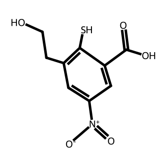 O=C(O)c1cc([N+](=O)[O-])cc(CCO)c1S